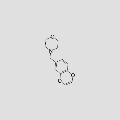 C1=COc2cc(CN3CCOCC3)ccc2O1